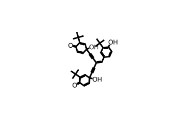 CC(C)(C)C1=CC(O)(C#CC(C#CC2(O)C=CC(=O)C(C(C)(C)C)=C2)=Cc2ccc(O)c(C(C)(C)C)c2)C=CC1=O